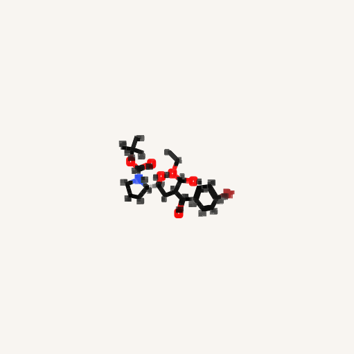 CCOC(=O)C(CC(=O)[C@@H]1CCCN1C(=O)OC(C)(C)C)C(=O)c1ccc(Br)cc1